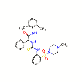 Cc1cccc(C)c1NC(=O)C(NC(=S)Nc1ccccc1S(=O)(=O)N1CCN(C)CC1)c1ccccc1